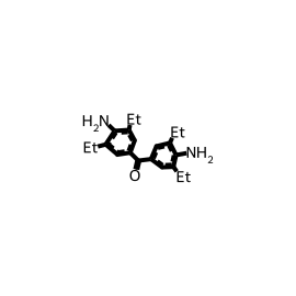 CCc1cc(C(=O)c2cc(CC)c(N)c(CC)c2)cc(CC)c1N